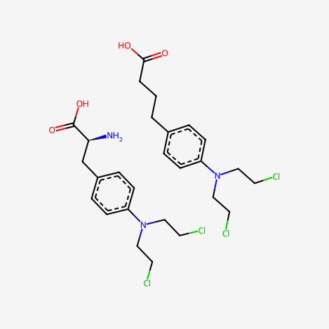 N[C@@H](Cc1ccc(N(CCCl)CCCl)cc1)C(=O)O.O=C(O)CCCc1ccc(N(CCCl)CCCl)cc1